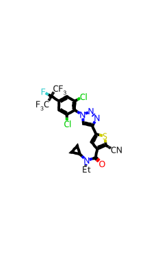 CCN(C(=O)c1cc(-c2cn(-c3c(Cl)cc(C(F)(C(F)(F)F)C(F)(F)F)cc3Cl)nn2)sc1C#N)C1CC1